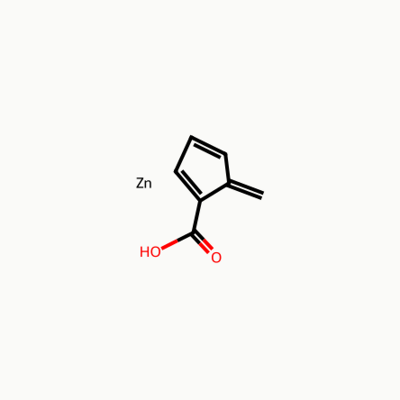 C=C1C=CC=C1C(=O)O.[Zn]